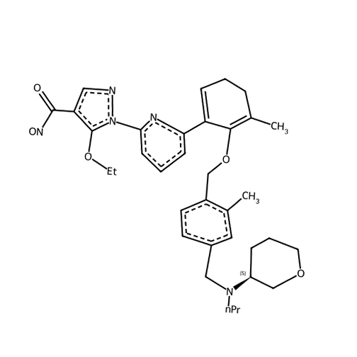 CCCN(Cc1ccc(COC2=C(C)CCC=C2c2cccc(-n3ncc(C(=O)N=O)c3OCC)n2)c(C)c1)[C@H]1CCCOC1